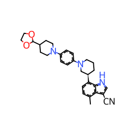 Cc1ccc([C@@H]2CCCN(c3ccc(N4CCC(C5OCCO5)CC4)cc3)C2)c2[nH]cc(C#N)c12